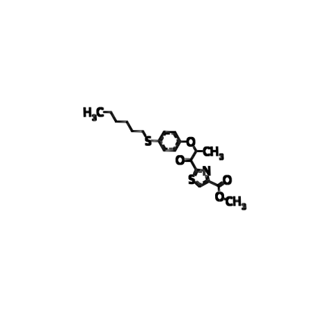 CCCCCCSc1ccc(OC(C)C(=O)c2nc(C(=O)OC)cs2)cc1